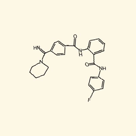 N=C(c1ccc(C(=O)Nc2ccccc2C(=O)Nc2ccc(F)cc2)cc1)N1CCCCC1